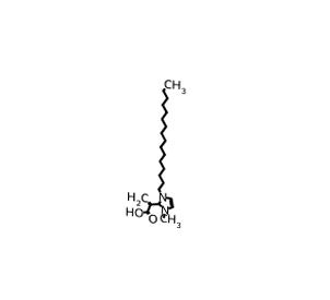 C=C(C(=O)O)C1N(C)C=CN1CCCCCCCCCCCCCCCC